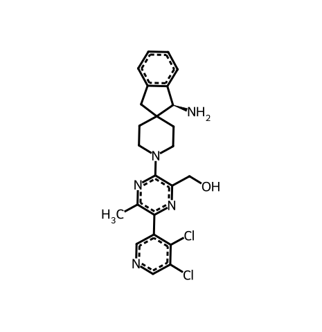 Cc1nc(N2CCC3(CC2)Cc2ccccc2[C@H]3N)c(CO)nc1-c1cncc(Cl)c1Cl